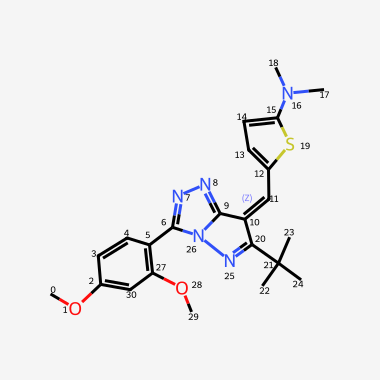 COc1ccc(-c2nnc3/c(=C\c4ccc(N(C)C)s4)c(C(C)(C)C)nn23)c(OC)c1